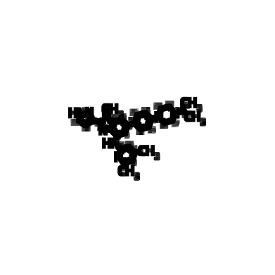 Cc1cc(C)nc(Nc2cc(-c3ccc(N4CCN(C(C)C)CC4)cc3)cc3c2nc(-c2cc[nH]n2)n3C)c1